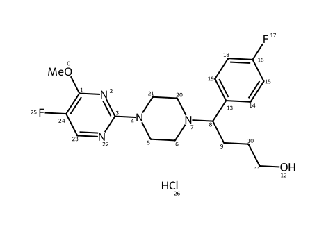 COc1nc(N2CCN(C(CCCO)c3ccc(F)cc3)CC2)ncc1F.Cl